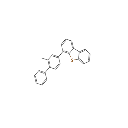 Cc1cc(-c2cccc3c2sc2ccccc23)ccc1-c1ccccc1